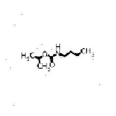 CCCCNC(=O)OC(C)C